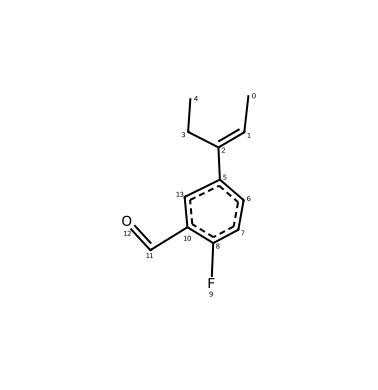 C/C=C(\CC)c1ccc(F)c(C=O)c1